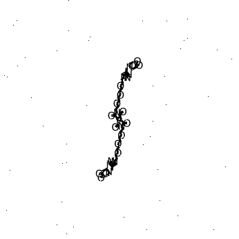 O=C1C2C(C(=O)N1CCOCCOCCOCCn1cc(CN3CCS(=O)(=O)CC3)nn1)C1C(=O)N(CCOCCOCCOCCn3cc(CN4CCS(=O)(=O)CC4)nn3)C(=O)C21